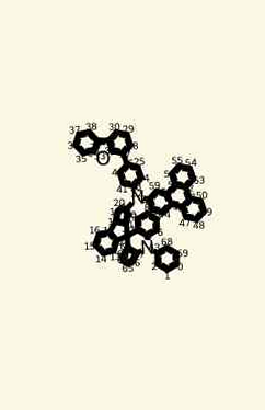 c1ccc(N2c3ccccc3C3(c4ccccc4-c4ccc(N(c5ccc(-c6cccc7c6oc6ccccc67)cc5)c5ccc6c7ccccc7c7ccccc7c6c5)cc43)c3ccccc32)cc1